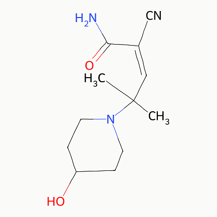 CC(C)(C=C(C#N)C(N)=O)N1CCC(O)CC1